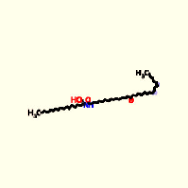 CCCCC/C=C\C/C=C\CCCCCCCC(=O)CCCCCCCCCCCCCCC(=O)N[C@@H](CO)CCCCCCCCCCCCCCCC